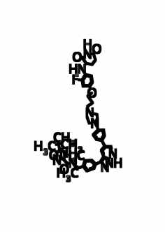 Cc1cc(-c2n[nH]c3ncc(-c4ccc(N5CCN(CCCOc6ccc(NC7CCC(=O)NC7=O)c(F)c6)CC5)cc4)cc23)ccc1C(C)NC(=O)c1noc(C(C)(C)C)n1